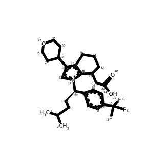 CC(C)CC[C@H](c1ccc(C(F)(F)F)cc1)n1cc(C2CCOCC2)c2c1C(CC(=O)O)CCC2